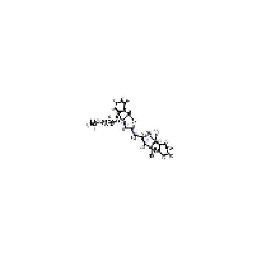 C=CPNCCN1/C(=C/C=C/C=C/C2=[N+](C)c3ccccc3C2(C)C)C(C)(C)c2ccccc21